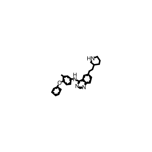 Cc1cc(Nc2ncnc3ccc(CCC4CCCNC4)cc23)ccc1Oc1ccccc1